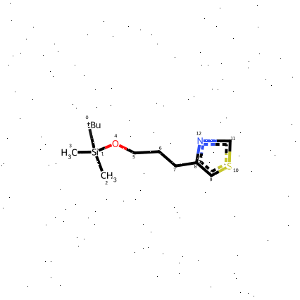 CC(C)(C)[Si](C)(C)OCCCc1cscn1